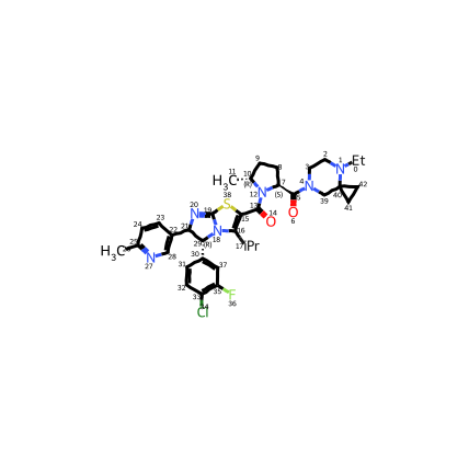 CCN1CCN(C(=O)[C@@H]2CC[C@@H](C)N2C(=O)C2=C(C(C)C)N3C(=NC(c4ccc(C)nc4)[C@H]3c3ccc(Cl)c(F)c3)S2)CC12CC2